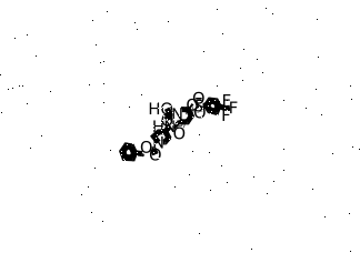 O=C(NC1CCN(C(=O)OCc2ccccc2)CC1)[C@@H]1CC[C@H](OS(=O)(=O)c2ccc(C(F)(F)F)cc2)CN1C(=O)O